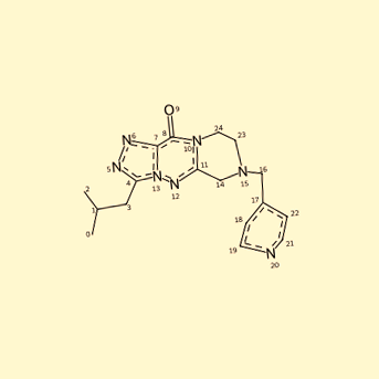 CC(C)Cc1nnc2c(=O)n3c(nn12)CN(Cc1ccncc1)CC3